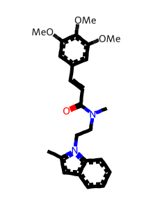 COc1cc(C=CC(=O)N(C)CCn2c(C)cc3ccccc32)cc(OC)c1OC